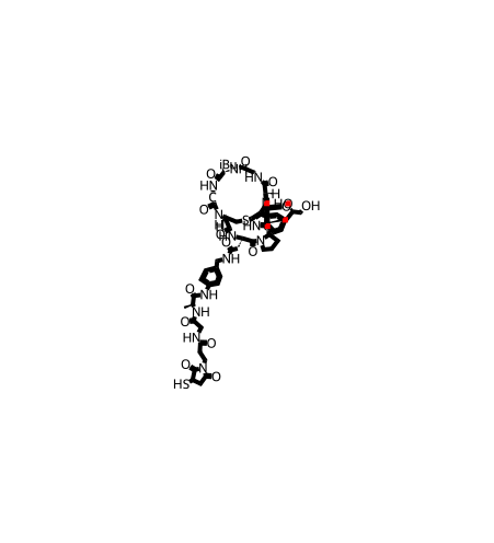 CC[C@H](C)[C@@H]1NC(=O)CNC(=O)[C@@H]2Cc3c([nH]c4ccccc34)SC[C@@H](NC(=O)CNC1=O)C(=O)N[C@@H](CC(=O)NCc1ccc(NC(=O)[C@H](C)NC(=O)CNC(=O)CCN3C(=O)CC(S)C3=O)cc1)C(=O)N1CCCC1C[C@@H](C[C@@H](O)CO)C(=O)N2